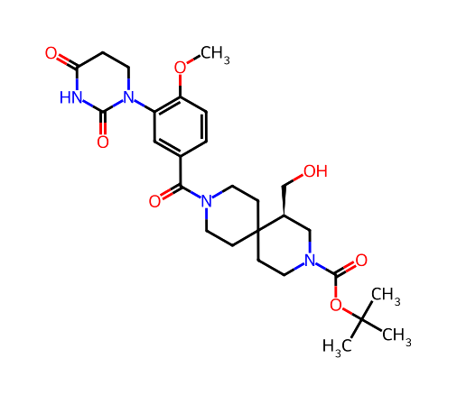 COc1ccc(C(=O)N2CCC3(CCN(C(=O)OC(C)(C)C)C[C@@H]3CO)CC2)cc1N1CCC(=O)NC1=O